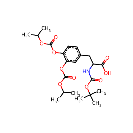 CC(C)OC(=O)Oc1ccc(CC(NC(=O)OC(C)(C)C)C(=O)O)cc1OC(=O)OC(C)C